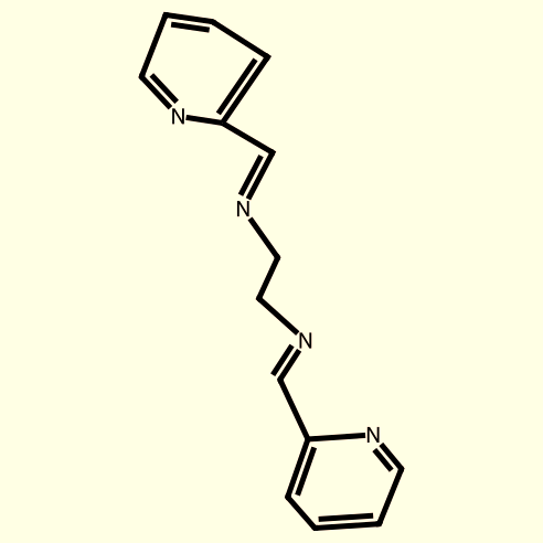 C(=NCCN=Cc1ccccn1)c1ccccn1